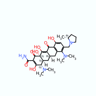 C[C@@H]1CCCN1Cc1cc(O)c2c(c1N(C)C)C[C@H]1C[C@H]3[C@H](N(C)C)C(O)=C(C(N)=O)C(=O)[C@@]3(O)C(O)=C1C2=O